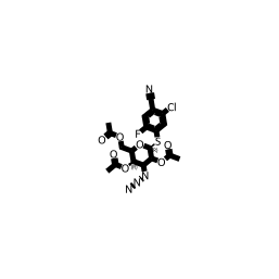 CC(=O)OCC1O[C@H](Sc2cc(Cl)c(C#N)cc2F)C(OC(C)=O)C(N=[N+]=[N-])[C@H]1OC(C)=O